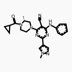 C[C@@H]1CN(c2nc(-c3cnn(C)c3)nc(Nc3ccccc3)c2C#N)CCN1C(=O)C1CC1